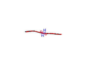 CCCCCCCCCCCCCCCCCCCCCCCCCCCC(=O)NCCCCNC(=O)CCCCCCCCCCCCCCCCCCCCCCCCCCC